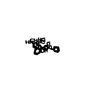 CN[C@H]1CCN(CC(c2ccc(OCc3ccccc3)c(Cl)c2)C2(O)CCCCC2)C1.Cl.Cl